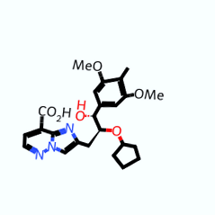 COc1cc([C@@H](O)[C@H](Cc2cn3nccc(C(=O)O)c3n2)OC2CCCC2)cc(OC)c1C